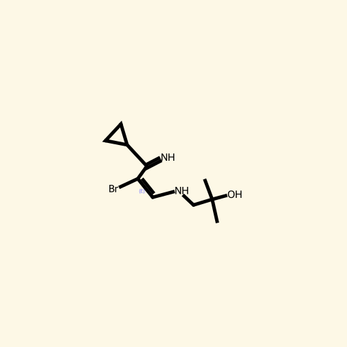 CC(C)(O)CN/C=C(/Br)C(=N)C1CC1